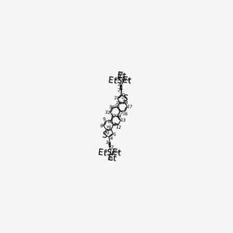 CC[Si](C#Cc1cc2c(ccc3c2ccc2c4ccc5sc(C#C[Si](CC)(CC)CC)cc5c4ccc32)s1)(CC)CC